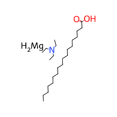 CCCCCCCCCCCCCCCCCC(=O)O.CCN(CC)CC.[MgH2]